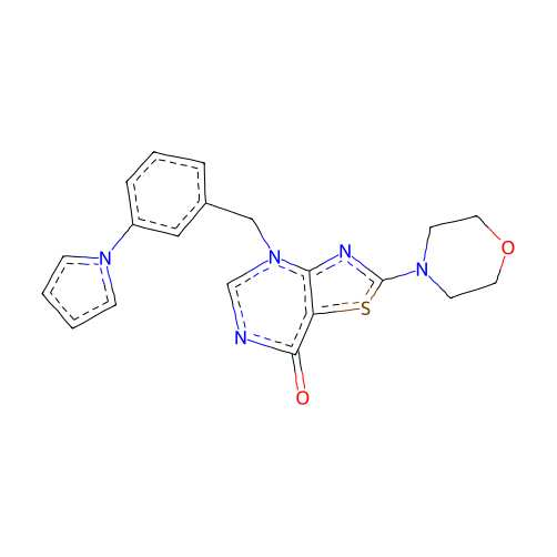 O=c1ncn(Cc2cccc(-n3cccc3)c2)c2nc(N3CCOCC3)sc12